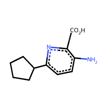 Nc1ccc(C2CCCC2)nc1C(=O)O